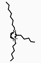 CCCCCCCCn1cc[n+](CCCCCC)c1CCCCC